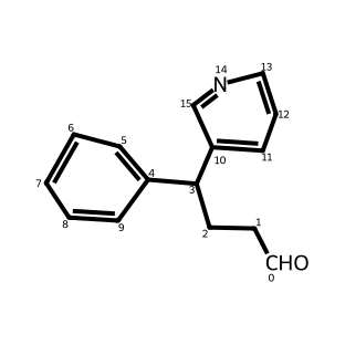 O=CCCC(c1ccccc1)c1cccnc1